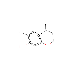 CC(=O)c1cc2c(cc1O)OCCC2C